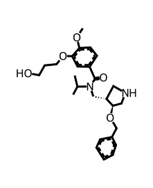 COc1ccc(C(=O)N(C[C@@H]2CNC[C@H]2OCc2ccccc2)C(C)C)cc1OCCCO